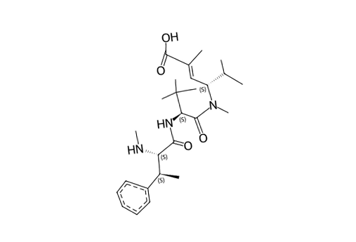 CN[C@H](C(=O)N[C@H](C(=O)N(C)[C@H](C=C(C)C(=O)O)C(C)C)C(C)(C)C)[C@@H](C)c1ccccc1